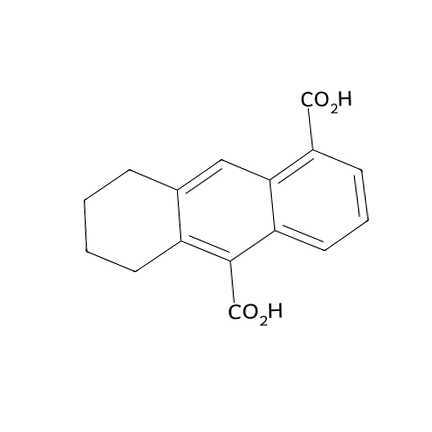 O=C(O)c1cccc2c(C(=O)O)c3c(cc12)CCCC3